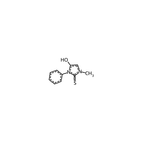 Cn1cc(O)n(-c2ccccc2)c1=S